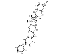 O=S(=O)(Nc1ccc(OC2CCN(c3ccncc3)CC2)cc1)c1ccc2cc(Br)ccc2c1